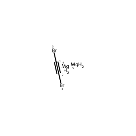 BrC#CBr.[MgH2].[MgH2]